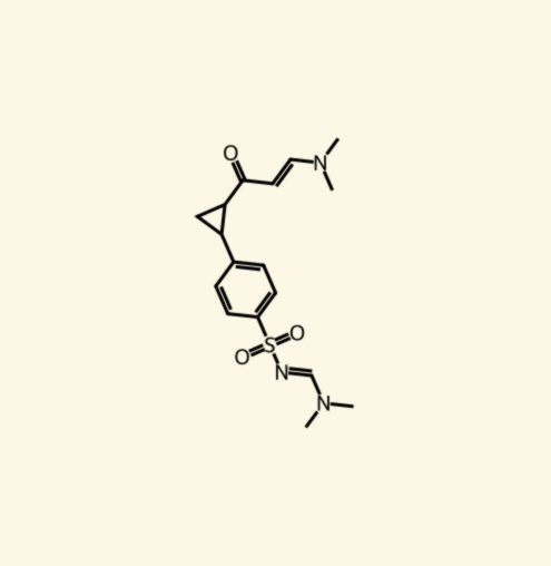 CN(C)/C=C/C(=O)C1CC1c1ccc(S(=O)(=O)/N=C/N(C)C)cc1